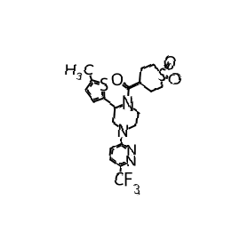 Cc1ccc(C2CN(c3ccc(C(F)(F)F)nn3)CCN2C(=O)C2CCS(=O)(=O)CC2)s1